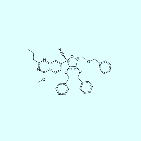 CCCc1nc(OC)c2ccc([C@]3(C#N)O[C@H](COCc4ccccc4)[C@@H](OCc4ccccc4)[C@H]3OCc3ccccc3)cc2n1